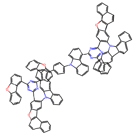 c1ccc(-c2nc(-c3cc4oc5c6ccccc6ccc5c4cc3-n3c4cc5ccccc5cc4c4ccc5ccccc5c43)nc(-c3cccc4c3c3ccccc3n4-c3ccc(-c4cccc5cc6c(cc45)c4ccccc4n6-c4cc5c(cc4-c4nc(-c6cccc7oc8ccccc8c67)nc(-c6cccc7oc8ccccc8c67)n4)oc4ccc6ccccc6c45)cc3)n2)cc1